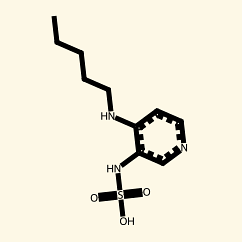 CCCCCNc1ccncc1NS(=O)(=O)O